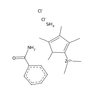 CC1=C(C)C(C)[C]([Zr+2]([CH3])[CH3])=C1C.NC(=O)c1ccccc1.[Cl-].[Cl-].[SiH4]